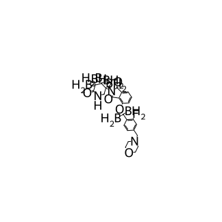 BC(B)(Oc1cccc2c1CN(C1(B)C(=O)NC(=O)C(B)(B)C1(B)B)C2=O)c1ccc(CN2CCOCC2)cc1F